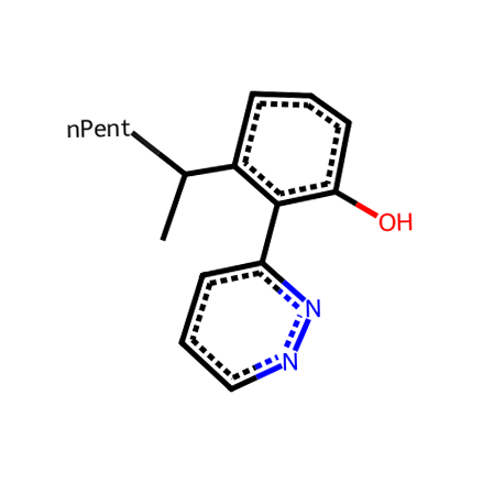 CCCCCC(C)c1cccc(O)c1-c1cccnn1